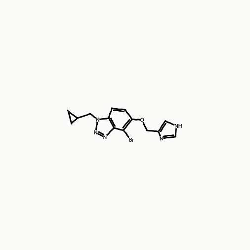 Brc1c(OCc2c[nH]cn2)ccc2c1nnn2CC1CC1